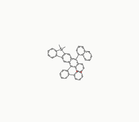 C[Si]1(C)c2ccccc2-c2cc3c(-c4ccccc4-c4ccccc4)c4ccccc4c(-c4cccc5ccccc45)c3cc21